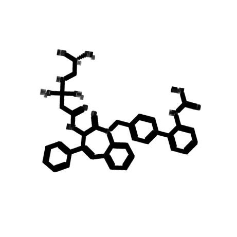 CNC(=O)Nc1ccccc1-c1ccc(CN2C(=O)C(NC(=O)CC(C)(C)NC[C@@H](C)O)C(c3ccccc3)=Cc3ccccc32)cc1